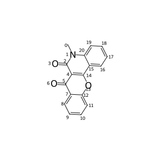 Cn1c(=O)c2c(=O)c3ccccc3oc2c2ccccc21